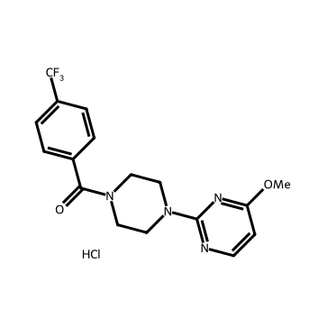 COc1ccnc(N2CCN(C(=O)c3ccc(C(F)(F)F)cc3)CC2)n1.Cl